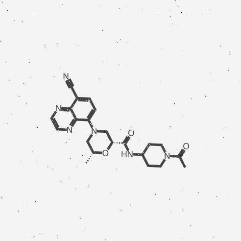 CC(=O)N1CCC(NC(=O)[C@H]2CN(c3ccc(C#N)c4nccnc34)C[C@@H](C)O2)CC1